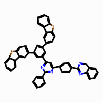 c1ccc(-c2nc(-c3ccc(-c4ncc5ccccc5n4)cc3)cc(-c3cc(-c4ccc5sc6ccccc6c5c4)cc(-c4ccc5sc6ccccc6c5c4)c3)n2)cc1